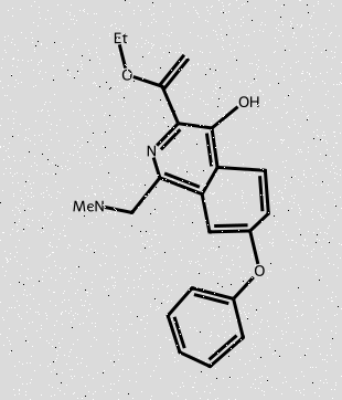 C=C(OCC)c1nc(CNC)c2cc(Oc3ccccc3)ccc2c1O